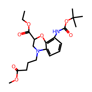 CCOC(=O)C1CN(CCCC(=O)OC)c2cccc(NC(=O)OC(C)(C)C)c2O1